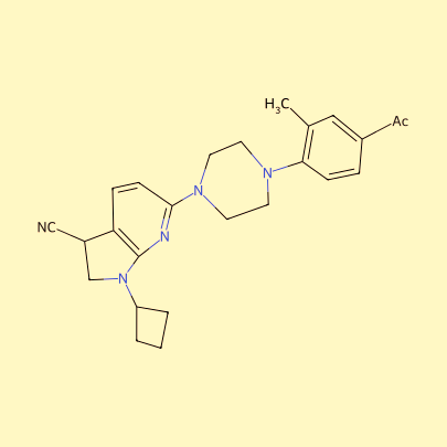 CC(=O)c1ccc(N2CCN(c3ccc4c(n3)N(C3CCC3)CC4C#N)CC2)c(C)c1